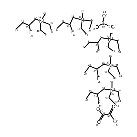 CCC(F)C[N+](C)(CC)CC.CCC(F)C[N+](C)(CC)CC.CCC(F)C[N+](C)(CC)CC.CCC(F)C[N+](C)(CC)CC.CCC(F)C[N+](C)(CC)CC.O=C([O-])C(=O)[O-].[O-]B([O-])[O-]